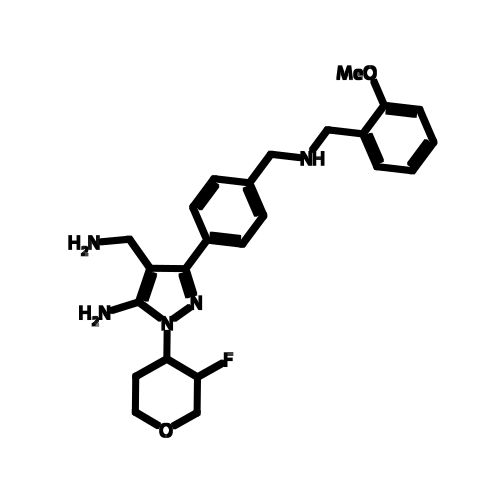 COc1ccccc1CNCc1ccc(-c2nn(C3CCOCC3F)c(N)c2CN)cc1